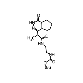 CC(C(=O)NCCNC(=O)OC(C)(C)C)c1n[nH]c(=O)c2c1CCCC2